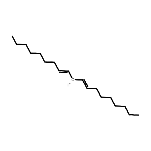 CCCCCCCC=COC=CCCCCCCC.F